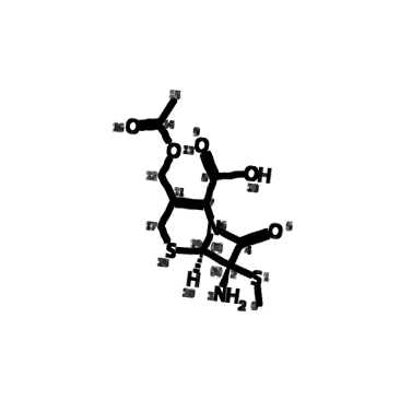 CS[C@@]1(N)C(=O)N2C(C(=O)O)=C(COC(C)=O)CS[C@@H]21